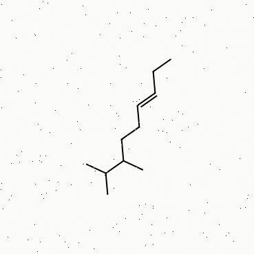 [CH2]C(C)C(C)CCC=CCC